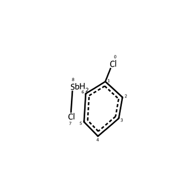 Clc1ccccc1.[Cl][SbH2]